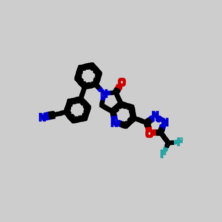 N#Cc1cccc(-c2ccccc2N2Cc3ncc(-c4nnc(C(F)F)o4)cc3C2=O)c1